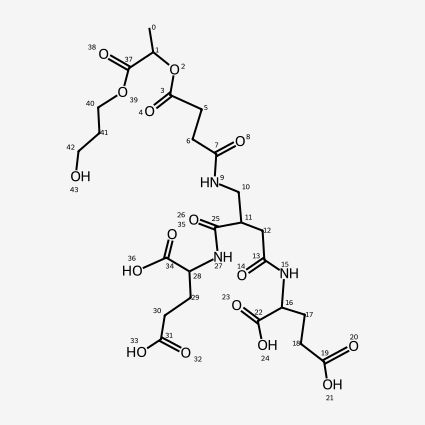 CC(OC(=O)CCC(=O)NCC(CC(=O)NC(CCC(=O)O)C(=O)O)C(=O)NC(CCC(=O)O)C(=O)O)C(=O)OCCCO